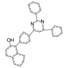 Oc1ccc2ccccc2c1-c1ccc(-c2cc(-c3ccccc3)nc(-c3ccccc3)n2)cc1